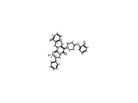 Cc1c(N2CCC(Oc3ccccc3F)CC2)c(=O)n(CC(N)c2ccccc2)c(=O)n1Cc1c(F)cccc1F